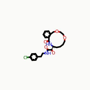 O=C(NCCc1ccc(Cl)cc1)C(=O)[C@@H]1CCCCOCCOCc2ccccc2C(=O)N1